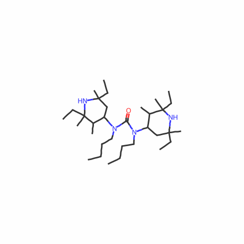 CCCCN(C(=O)N(CCCC)C1CC(C)(CC)NC(C)(CC)C1C)C1CC(C)(CC)NC(C)(CC)C1C